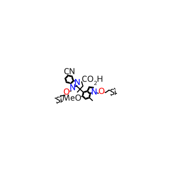 COc1cc(C)c2c(ccn2COCC[Si](C)(C)C)c1C(C)(CCC(=O)O)c1nc2cc(C#N)ccc2n1COCC[Si](C)(C)C